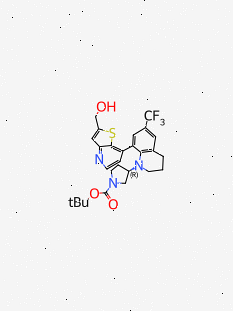 CC(C)(C)OC(=O)N1CC[C@@H](N2CCCc3cc(C(F)(F)F)cc(-c4ccnc5cc(CO)sc45)c32)C1